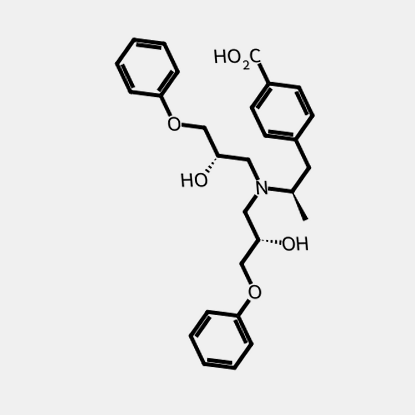 C[C@H](Cc1ccc(C(=O)O)cc1)N(C[C@H](O)COc1ccccc1)C[C@H](O)COc1ccccc1